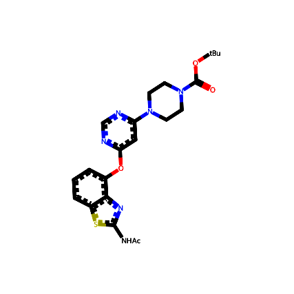 CC(=O)Nc1nc2c(Oc3cc(N4CCN(C(=O)OC(C)(C)C)CC4)ncn3)cccc2s1